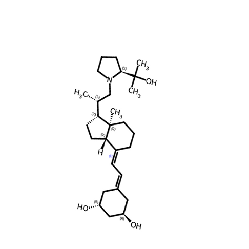 C[C@H](CN1CCC[C@H]1C(C)(C)O)[C@H]1CC[C@H]2/C(=C/C=C3C[C@@H](O)C[C@H](O)C3)CCC[C@]12C